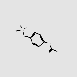 CC(=O)Oc1ccc(C[Si](Cl)(Cl)Cl)cc1